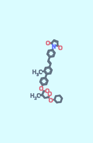 C=C(CC(=O)OC1CCCCC1)C(=O)Oc1ccc(-c2ccc(/C=C/c3ccc(N4C(=O)C=CC4=O)cc3)cc2C)cc1